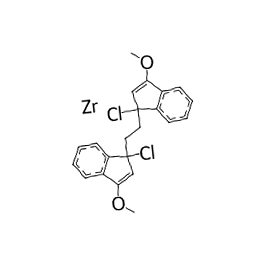 COC1=CC(Cl)(CCC2(Cl)C=C(OC)c3ccccc32)c2ccccc21.[Zr]